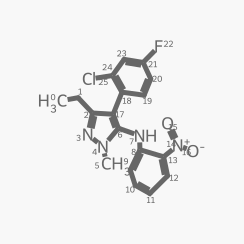 CCc1nn(C)c(Nc2ccccc2[N+](=O)[O-])c1-c1ccc(F)cc1Cl